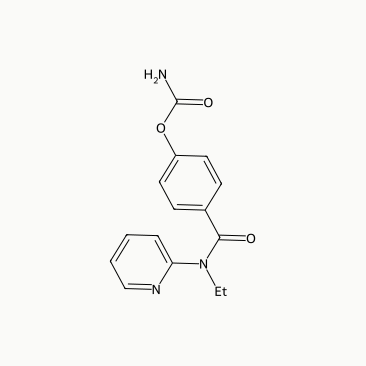 CCN(C(=O)c1ccc(OC(N)=O)cc1)c1ccccn1